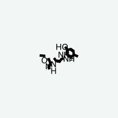 CCOC/C(=N/C)N/C(C)=C/C(N)NC1=CC(C)C=CC(O)=C1